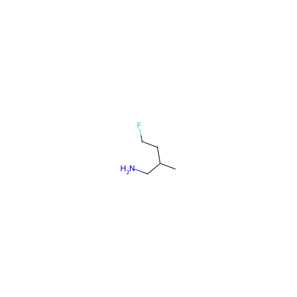 CC(CN)CCF